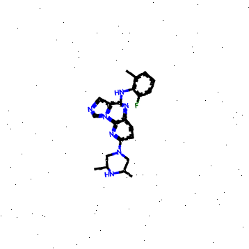 Cc1cccc(F)c1Nc1nc2ccc(N3CC(C)NC(C)C3)nc2n2cncc12